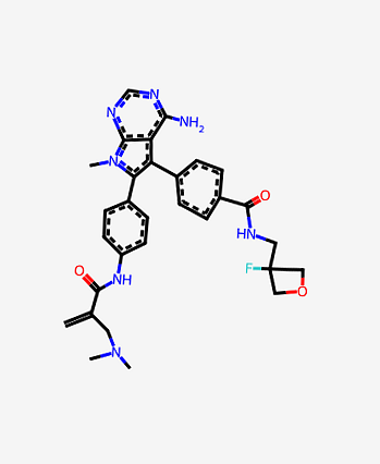 C=C(CN(C)C)C(=O)Nc1ccc(-c2c(-c3ccc(C(=O)NCC4(F)COC4)cc3)c3c(N)ncnc3n2C)cc1